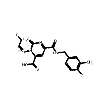 C=C1N=C(C(=O)NCc2ccc(F)c(C)c2)C=C(C(=O)O)N1/N=C\CF